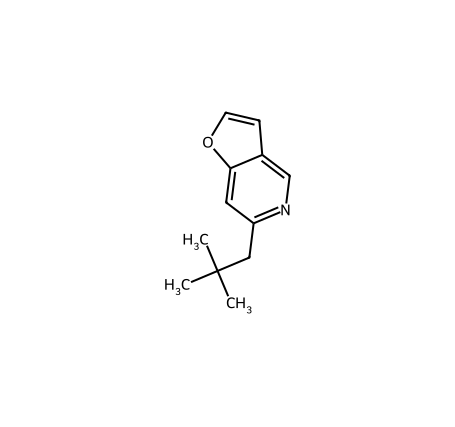 CC(C)(C)Cc1cc2occc2cn1